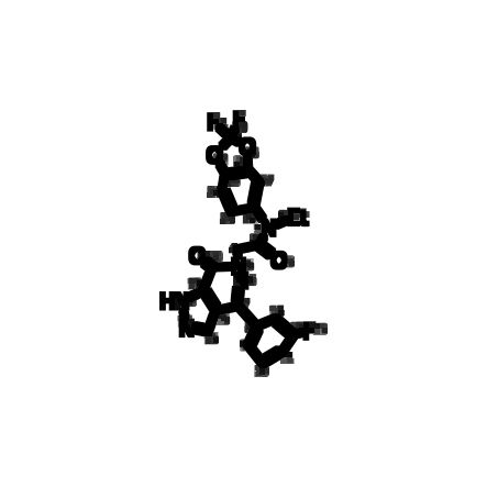 CCN(C(=O)Cn1nc(-c2cccc(F)c2)c2cn[nH]c2c1=O)c1ccc2c(c1)OC(F)(F)O2